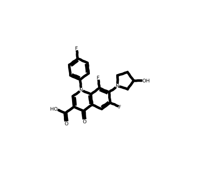 O=C(O)c1cn(-c2ccc(F)cc2)c2c(F)c(N3CCC(O)C3)c(F)cc2c1=O